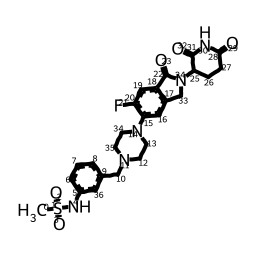 CS(=O)(=O)Nc1cccc(CN2CCN(c3cc4c(cc3F)C(=O)N(C3CCC(=O)NC3=O)C4)CC2)c1